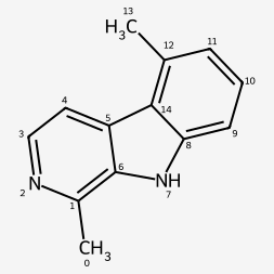 Cc1nccc2c1[nH]c1cccc(C)c12